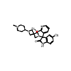 CCOc1ncccc1C1(N2CC3(CN(C4CCN(C)CC4)C3)C2)C(=O)Nc2ccc(C#N)cc21